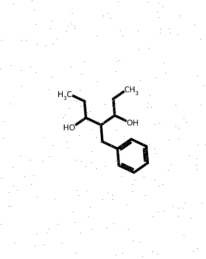 CCC(O)C(Cc1ccccc1)C(O)CC